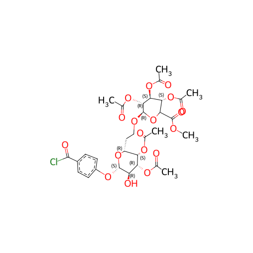 COC(=O)C1O[C@@H](OCC[C@H]2O[C@@H](Oc3ccc(C(=O)Cl)cc3)[C@H](O)[C@@H](OC(C)=O)[C@H]2OC(C)=O)[C@H](OC(C)=O)[C@@H](OC(C)=O)[C@@H]1OC(C)=O